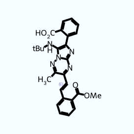 COC(=O)c1ccccc1/C=C/c1nc2nc(-c3ccccc3C(=O)O)c(NC(C)(C)C)n2nc1C